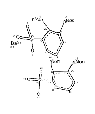 CCCCCCCCCc1cccc(S(=O)(=O)[O-])c1CCCCCCCCC.CCCCCCCCCc1cccc(S(=O)(=O)[O-])c1CCCCCCCCC.[Ba+2]